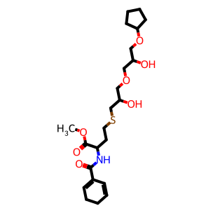 COC(=O)C(CCSCC(O)COCC(O)COC1CCCC1)NC(=O)C1=CCCC=C1